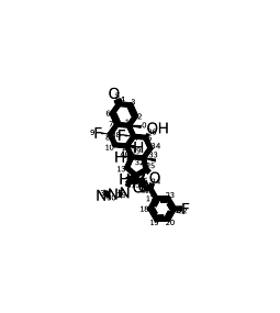 C[C@]12C=CC(=O)C=C1[C@@H](F)C[C@H]1[C@@H]3C[C@H]4OC(c5cccc(F)c5)O[C@@]4(C(=O)CN=[N+]=[N-])[C@@]3(C)C[C@H](O)[C@@]12F